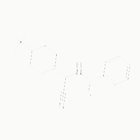 CC(C)(C)C1CCC(C(C#N)N[S+]([O-])c2ccccc2)CC1